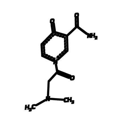 CN(C)CC(=O)n1ccc(=O)c(C(N)=O)c1